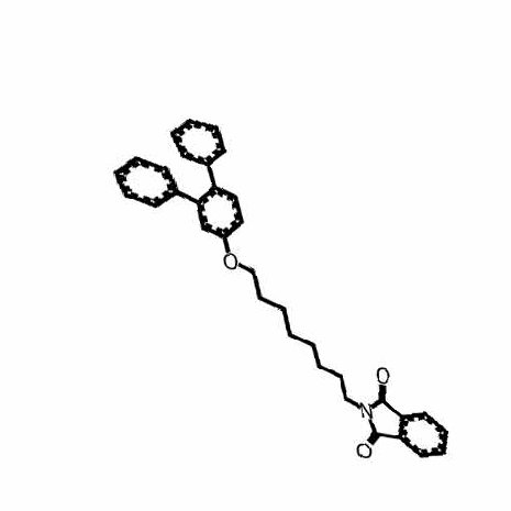 O=C1c2ccccc2C(=O)N1CCCCCCCCOc1ccc(-c2ccccc2)c(-c2ccccc2)c1